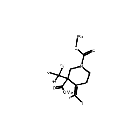 [2H]C([2H])([2H])C1(C(=O)OC)CN(C(=O)OC(C)(C)C)CCC1=C(F)F